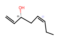 C=C[C@H](O)C/C=C\CC